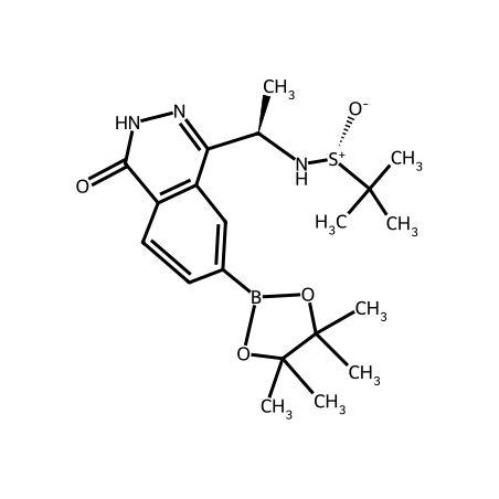 C[C@@H](N[S@+]([O-])C(C)(C)C)c1n[nH]c(=O)c2ccc(B3OC(C)(C)C(C)(C)O3)cc12